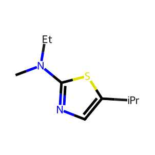 CCN(C)c1ncc(C(C)C)s1